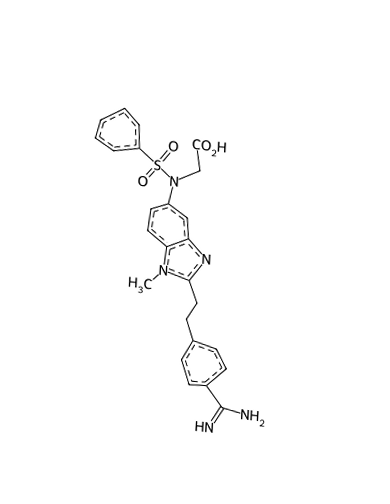 Cn1c(CCc2ccc(C(=N)N)cc2)nc2cc(N(CC(=O)O)S(=O)(=O)c3ccccc3)ccc21